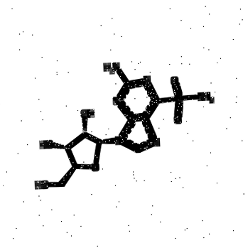 Nc1nc(S(N)(=O)=O)c2ncn([C@H]3O[C@@H](CO)[C@H](O)[C@@H]3O)c2n1